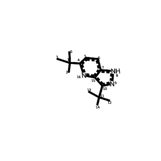 CC(C)(C)c1ccc2[nH]nc(C(C)(C)C)c2n1